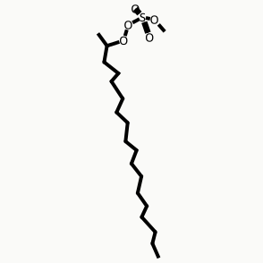 CCCCCCCCCCCCCCCCC(C)OOS(=O)(=O)OC